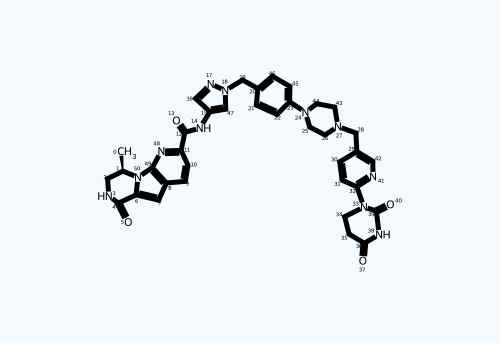 C[C@@H]1CNC(=O)c2cc3ccc(C(=O)Nc4cnn(Cc5ccc(N6CCN(Cc7ccc(N8CCC(=O)NC8=O)nc7)CC6)cc5)c4)nc3n21